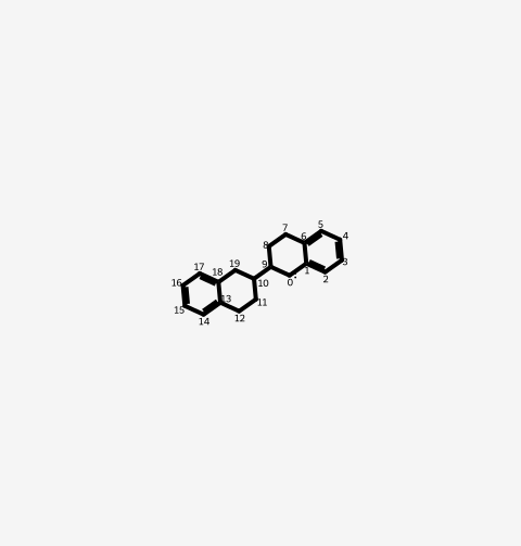 [C]1c2ccccc2CCC1C1CCc2ccccc2C1